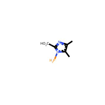 Cc1nc(C(=O)O)n(P)c1C